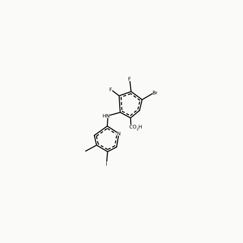 Cc1cc(Nc2c(C(=O)O)cc(Br)c(F)c2F)ncc1I